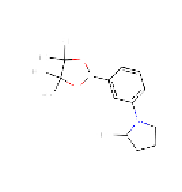 CC1CCCN1c1cccc(B2OC(C)(C)C(C)(C)O2)c1